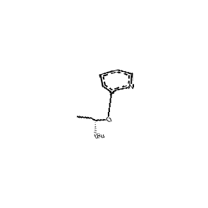 C[C@H](Oc1ccccn1)C(C)(C)C